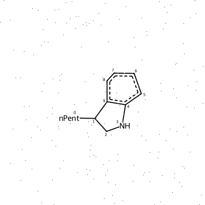 CCCCCC1CNc2ccccc21